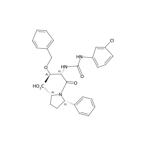 C[C@@H](OCc1ccccc1)[C@H](NC(=O)Nc1cccc(Cl)c1)C(=O)N1[C@@H](C(=O)O)CC[C@H]1c1ccccc1